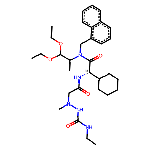 CCNC(=O)NN(C)CC(=O)N[C@H](C(=O)N(Cc1cccc2ccccc12)C(C)C(OCC)OCC)C1CCCCC1